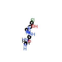 O=C(NC1[C@H]2CNC[C@@H]12)c1ccc(Nc2nc3c(N4CCC(O)(c5ccc(Cl)cc5)CC4)cccn3n2)cc1